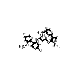 COc1cc(F)cnc1-c1cnc(Cl)cc1N[C@@H](C)CCOc1c(-c2nccc(N)n2)cnn1C